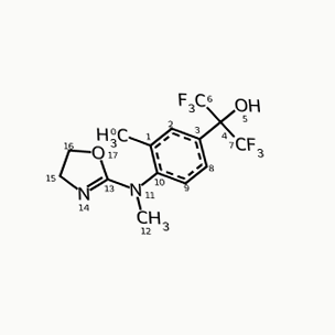 Cc1cc(C(O)(C(F)(F)F)C(F)(F)F)ccc1N(C)C1=NCCO1